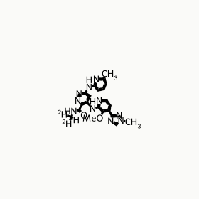 [2H]C([2H])([2H])NC(=O)c1nnc(Nc2cccc(C)n2)cc1Nc1nccc(-c2ncn(C)n2)c1OC